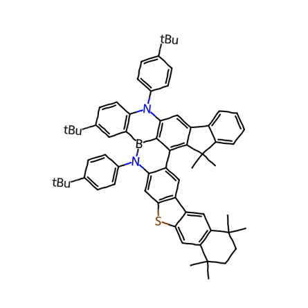 CC(C)(C)c1ccc(N2B3c4cc(C(C)(C)C)ccc4N(c4ccc(C(C)(C)C)cc4)c4cc5c(c(c43)-c3cc4c(cc32)sc2cc3c(cc24)C(C)(C)CCC3(C)C)C(C)(C)c2ccccc2-5)cc1